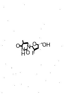 Cc1cn([C@H]2O[C@H](CO)C=C2F)c(=O)[nH]c1=O